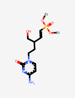 CCOP(=O)(/C=C/C(CO)CCn1ccc(N)nc1=O)OCC